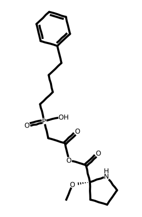 CO[C@@]1(C(=O)OC(=O)CP(=O)(O)CCCCc2ccccc2)CCCN1